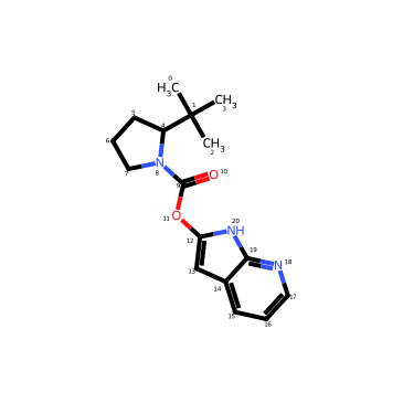 CC(C)(C)C1CCCN1C(=O)Oc1cc2cccnc2[nH]1